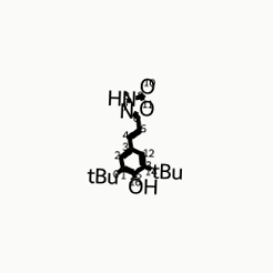 CC(C)(C)c1cc(/C=C/c2n[nH]c(=O)o2)cc(C(C)(C)C)c1O